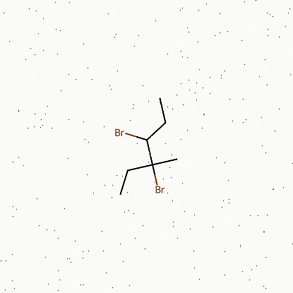 CCC(Br)C(C)(Br)CC